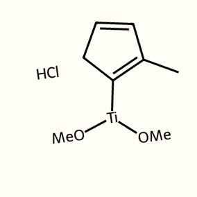 C[O][Ti]([O]C)[C]1=C(C)C=CC1.Cl